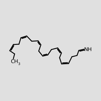 CC/C=C\C/C=C\C/C=C\C/C=C\C/C=C\C/C=C\CCC=N